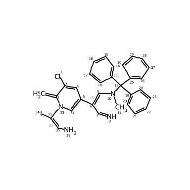 C=C1C(Cl)=CC(/C(C=N)=C/N(C)C(c2ccccc2)(c2ccccc2)c2ccccc2)=CN1/C(I)=C\N